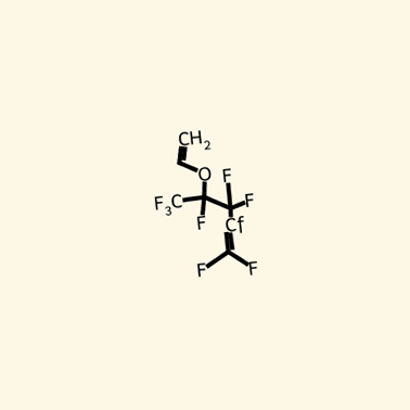 C=COC(F)(C(F)(F)F)[C](F)(F)[Cf]=[C](F)F